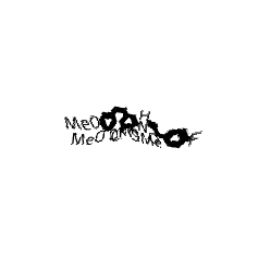 COc1cc(/C=C\c2cc(Cl)c(OC)c(N/C=C\C(=O)c3ccc(F)cc3)c2)cc(OC)c1OC